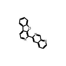 c1cnc2cnc(-c3nccc4c3oc3ccccc34)cc2c1